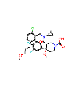 COCCCc1ccc(Cl)c(CN(C(=O)[C@H]2CN(C(=O)O)CC[C@]2(OC)c2ccc(F)c(F)c2)C2CC2)c1